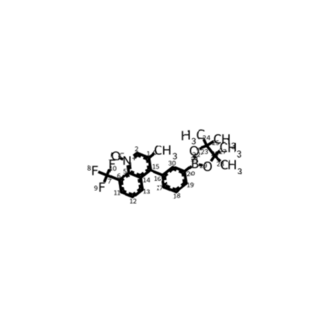 Cc1c[n+]([O-])c2c(C(F)(F)F)cccc2c1-c1cccc(B2OC(C)(C)C(C)(C)O2)c1